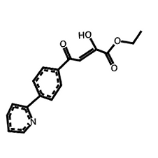 CCOC(=O)C(O)=CC(=O)c1ccc(-c2ccccn2)cc1